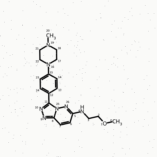 COCCNc1ccc2nnc(-c3ccc(N4CCN(C)CC4)cc3)n2n1